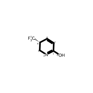 OC1=NC[C@H](C(F)(F)F)C=C1